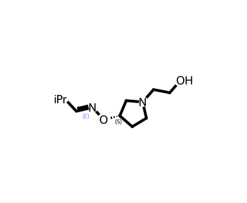 CC(C)/C=N/O[C@H]1CCN(CCO)C1